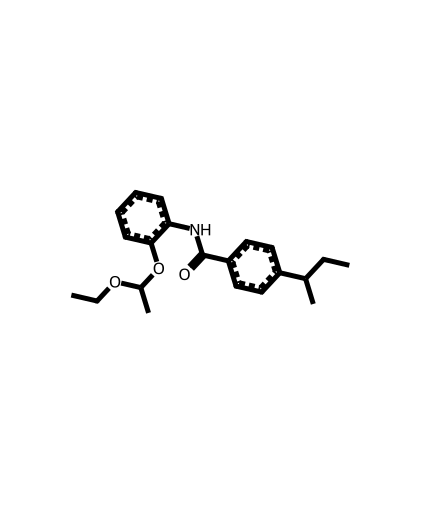 CCOC(C)Oc1ccccc1NC(=O)c1ccc(C(C)CC)cc1